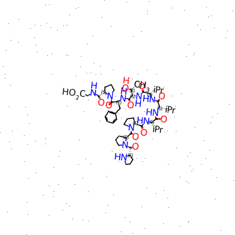 CC(C)[C@H](NC(=O)[C@@H](NC(=O)[C@@H]1CCCN1C(=O)[C@@H]1CCCN1C(=O)[C@@H]1CCCN1)C(C)C)C(=O)N[C@H](C(=O)N[C@H](C(=O)N[C@@H](Cc1ccccc1)C(=O)N1CCC[C@H]1C(=O)NCC(=O)O)[C@@H](C)O)C(C)C